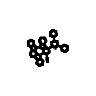 N#Cc1cc(-c2nc(-c3ccccc3)nc(-c3ccccc3)n2)c2c(oc3ccccc32)c1-n1c2ccccc2c2ccc3c4ccccc4oc3c21